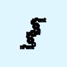 CCCCCOc1ccc(/C=N\c2ccc(/N=C\c3ccc(OCCCCC)cc3)cc2)cc1